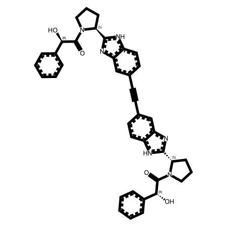 O=C([C@H](O)c1ccccc1)N1CCC[C@H]1c1nc2cc(C#Cc3ccc4[nH]c([C@@H]5CCCN5C(=O)[C@H](O)c5ccccc5)nc4c3)ccc2[nH]1